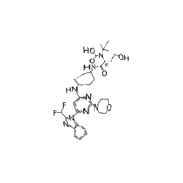 CC(C)(C)N(C(=O)O)[C@H](CCO)C(=O)N[C@H]1CC[C@H](Nc2cc(-n3c(C(F)F)nc4ccccc43)nc(N3CCOCC3)n2)CC1